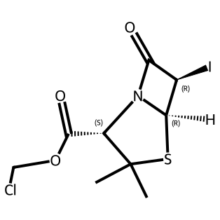 CC1(C)S[C@@H]2[C@H](I)C(=O)N2[C@H]1C(=O)OCCl